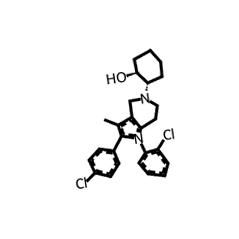 Cc1c2c(n(-c3ccccc3Cl)c1-c1ccc(Cl)cc1)CCN([C@H]1CCCC[C@@H]1O)C2